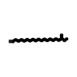 COC(=O)CCCCCCCCCCCCCCCCO